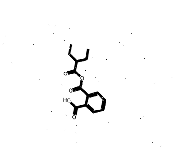 CCC(CC)C(=O)OC(=O)c1ccccc1C(=O)O